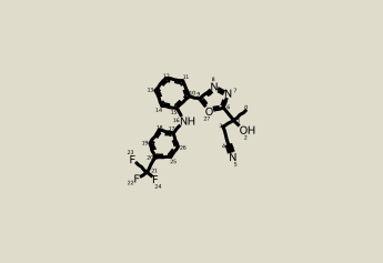 CC(O)(CC#N)c1nnc(-c2ccccc2Nc2ccc(C(F)(F)F)cc2)o1